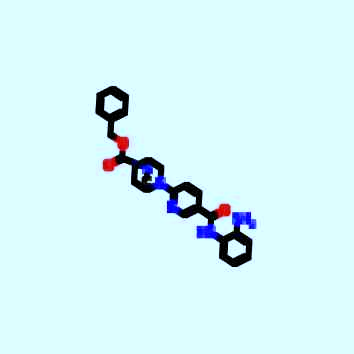 Nc1ccccc1NC(=O)c1ccc(N2CC3CCC2CN3C(=O)OCc2ccccc2)nc1